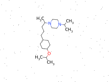 CC(C)OC1CCC(CCCC(C)N2CCN(C(C)C)CC2)CC1